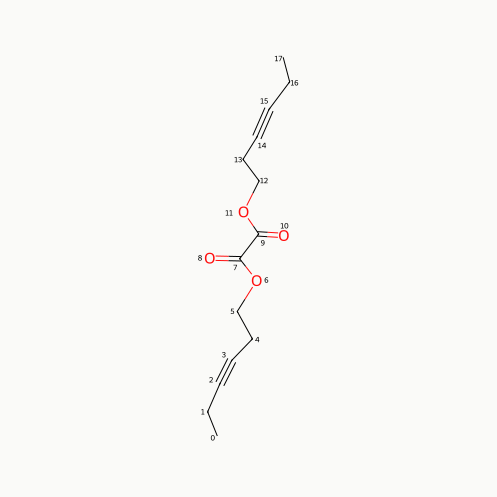 CCC#CCCOC(=O)C(=O)OCCC#CCC